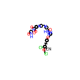 CC(C)(c1ccc(OCc2ccnc(NC(=O)C3CCN(CC4CCN(c5ccc6c(c5)C(=O)N(C5CCC(=O)NC5=O)C6=O)CC4)CC3)n2)cc1)c1cc(Cl)c(OCCCl)c(C#N)c1